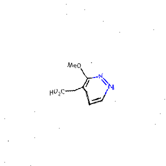 COc1nnccc1C(=O)O